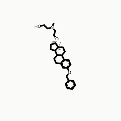 CN(CCO)CCO[C@H]1CCC2C3CCc4cc(OCc5ccccc5)ccc4C3CC[C@@]21C